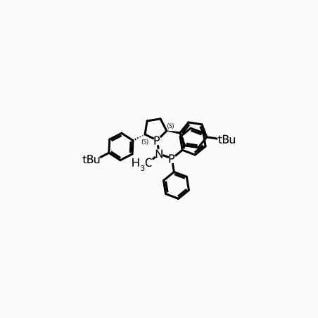 CN(P(c1ccccc1)c1ccccc1)P1[C@H](c2ccc(C(C)(C)C)cc2)CC[C@H]1c1ccc(C(C)(C)C)cc1